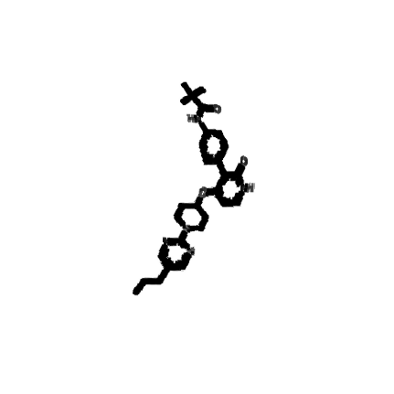 CCCc1cnc(N2CCC(Oc3cc[nH]c(=O)c3-c3ccc(NC(=O)C(C)(C)C)cc3)CC2)nc1